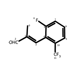 CC([C]=O)=Cc1c(F)cccc1C(F)(F)F